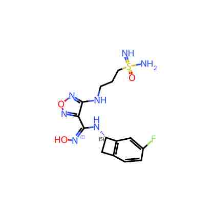 N=S(N)(=O)CCCNc1nonc1/C(=N\O)N[C@H]1Cc2ccc(F)cc21